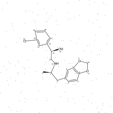 C[C@H](Cc1ccc2c(c1)OCO2)NC[C@H](O)c1cccc(Cl)c1